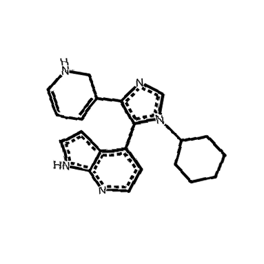 C1=CNCC(c2ncn(C3CCCCC3)c2-c2ccnc3[nH]ccc23)=C1